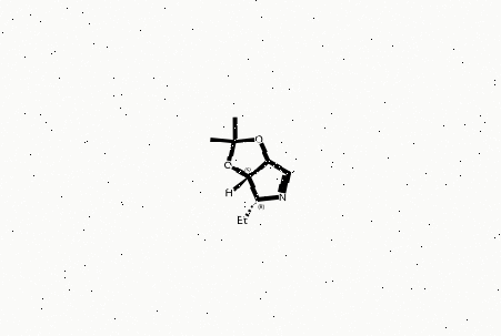 CC[C@H]1N=CC2OC(C)(C)O[C@H]21